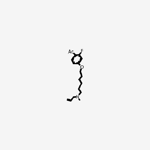 C=CCN(C)CCCCCCOc1ccc(C(C)=O)c(F)c1